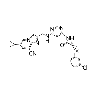 N#Cc1cc(C2CC2)cn2cc(CNc3cc(NC(=O)[C@H]4C[C@@H]4c4cccc(Cl)c4)ncn3)nc12